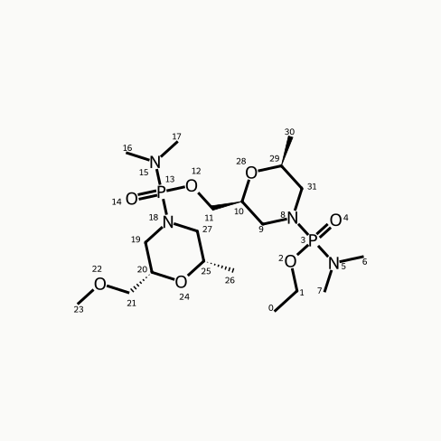 CCOP(=O)(N(C)C)N1C[C@@H](COP(=O)(N(C)C)N2C[C@@H](COC)O[C@@H](C)C2)O[C@@H](C)C1